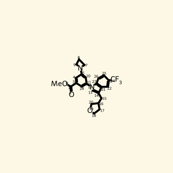 COC(=O)c1cc(N2CCC2)cc(-n2cc(CC3CCOC3)c3cc(C(F)(F)F)ccc32)c1